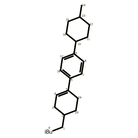 CCC(C)CC1CC=C(c2ccc(C3CCC(C)CC3)cc2)CC1